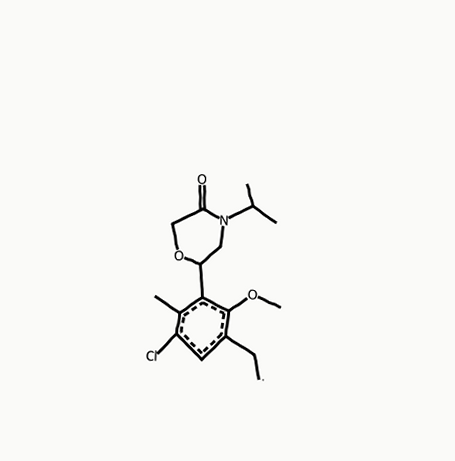 [CH2]Cc1cc(Cl)c(C)c(C2CN(C(C)C)C(=O)CO2)c1OC